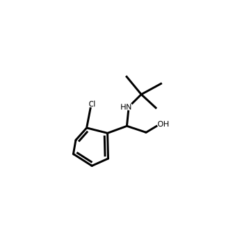 CC(C)(C)NC(CO)c1ccccc1Cl